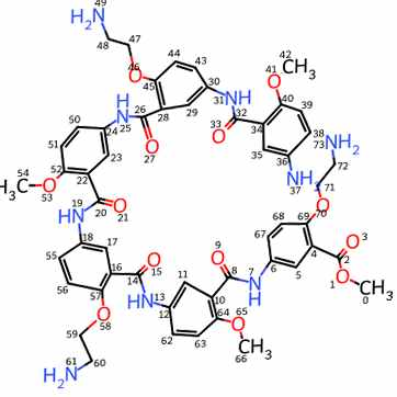 COC(=O)c1cc(NC(=O)c2cc(NC(=O)c3cc(NC(=O)c4cc(NC(=O)c5cc(NC(=O)c6cc(N)ccc6OC)ccc5OCCN)ccc4OC)ccc3OCCN)ccc2OC)ccc1OCCN